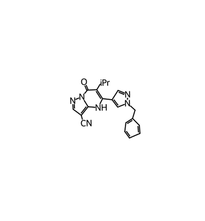 CC(C)c1c(-c2cnn(Cc3ccccc3)c2)[nH]c2c(C#N)cnn2c1=O